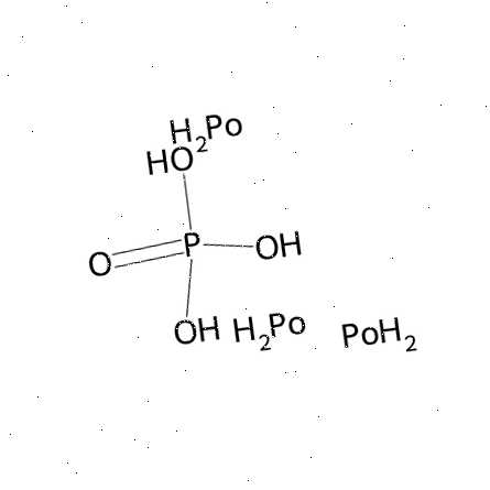 O=P(O)(O)O.[PoH2].[PoH2].[PoH2]